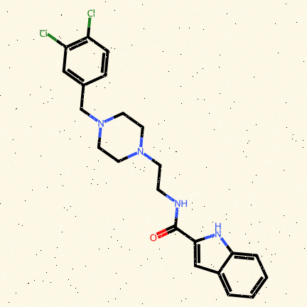 O=C(NCCN1CCN(Cc2ccc(Cl)c(Cl)c2)CC1)c1cc2ccccc2[nH]1